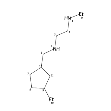 CCNCCNCC1CCC(CC)C1